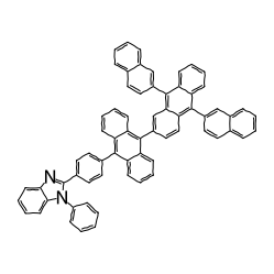 c1ccc(-n2c(-c3ccc(-c4c5ccccc5c(-c5ccc6c(-c7ccc8ccccc8c7)c7ccccc7c(-c7ccc8ccccc8c7)c6c5)c5ccccc45)cc3)nc3ccccc32)cc1